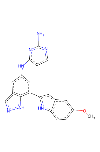 COc1ccc2[nH]c(-c3cc(Nc4ccnc(N)n4)cc4cn[nH]c34)cc2c1